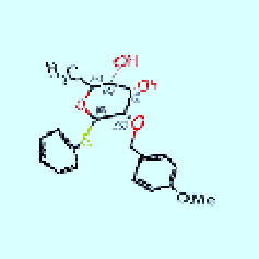 COc1ccc(CO[C@H]2[C@@H](O)[C@@H](O)[C@H](C)O[C@@H]2Sc2ccccc2)cc1